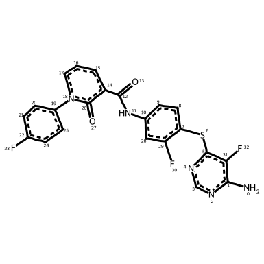 Nc1ncnc(Sc2ccc(NC(=O)c3cccn(-c4ccc(F)cc4)c3=O)cc2F)c1F